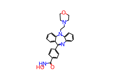 O=C(NO)c1ccc(C2=Nc3ccccc3N(CCN3CCOCC3)c3ccccc32)cc1